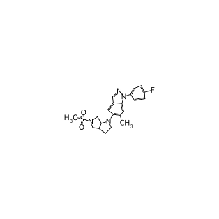 Cc1cc2c(cnn2-c2ccc(F)cc2)cc1N1CCC2CN(S(C)(=O)=O)CC21